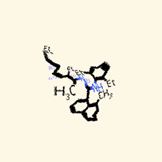 CC/C=C/C=C\C(CC)=C(C)\N=C(\Nc1c(CC)cccc1CC)c1cccc2cccc(C)c12